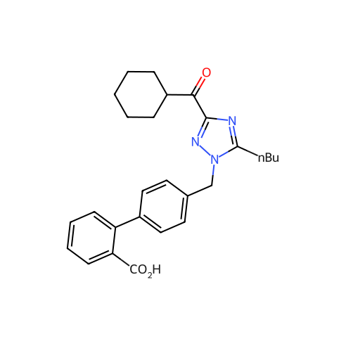 CCCCc1nc(C(=O)C2CCCCC2)nn1Cc1ccc(-c2ccccc2C(=O)O)cc1